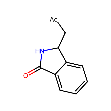 CC(=O)CC1NC(=O)c2ccccc21